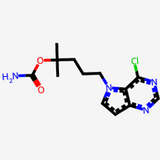 CC(C)(CCCn1ccc2ncnc(Cl)c21)OC(N)=O